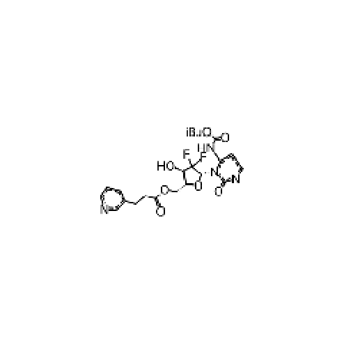 CC(C)COC(=O)Nc1ccnc(=O)n1[C@@H]1O[C@H](COC(=O)CCc2cccnc2)[C@@H](O)C1(F)F